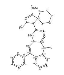 COC(=O)C1(C(CC(C)C)C(=O)NC2N=C(c3ccccc3)c3ccccc3N(C)C2=O)CCCCC1